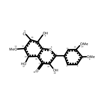 COc1ccc(-c2oc3c(O)c(Cl)c(OC)c(O)c3c(=O)c2O)cc1OC